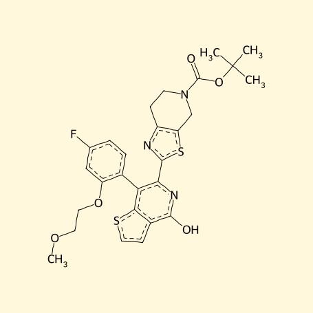 COCCOc1cc(F)ccc1-c1c(-c2nc3c(s2)CN(C(=O)OC(C)(C)C)CC3)nc(O)c2ccsc12